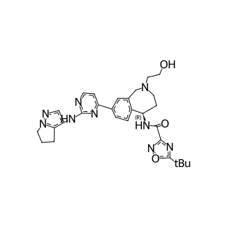 CC(C)(C)c1nc(C(=O)N[C@@H]2CCN(CCO)Cc3cc(-c4ccnc(Nc5cnn6c5CCC6)n4)ccc32)no1